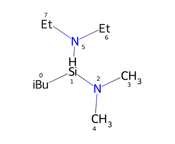 CCC(C)[SiH](N(C)C)N(CC)CC